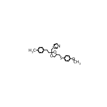 COc1ccc(SCC2COC(CCc3ccc(C)cc3)(Cn3ccnc3)O2)cc1